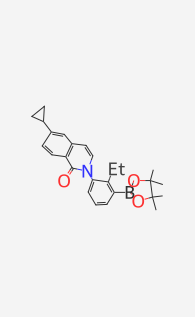 CCc1c(B2OC(C)(C)C(C)(C)O2)cccc1-n1ccc2cc(C3CC3)ccc2c1=O